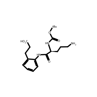 CC(C)(C)OC(=O)N[C@@H](CCCN)C(=O)Nc1ccccc1CCC(=O)O